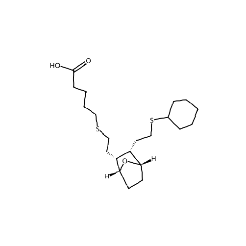 O=C(O)CCCCSCC[C@@H]1[C@H](CCSC2CCCCC2)[C@@H]2CC[C@H]1O2